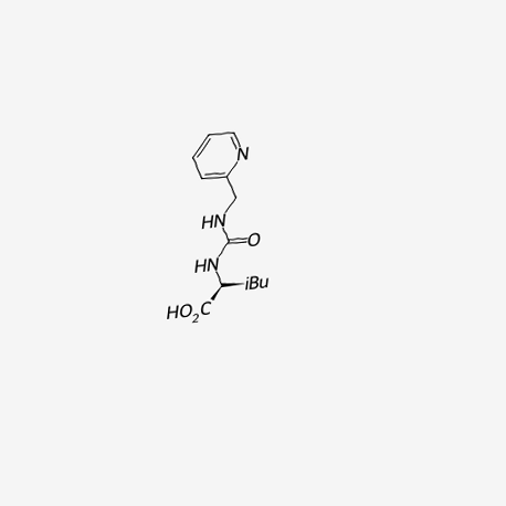 CC[C@H](C)[C@H](NC(=O)NCc1ccccn1)C(=O)O